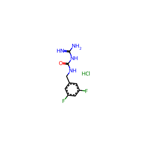 Cl.N=C(N)NC(=O)NCc1cc(F)cc(F)c1